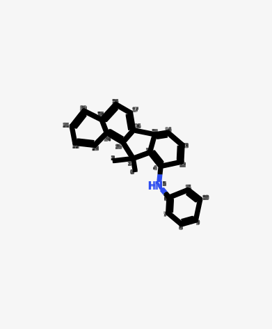 CC1(C)c2c(Nc3ccccc3)cccc2-c2ccc3ccccc3c21